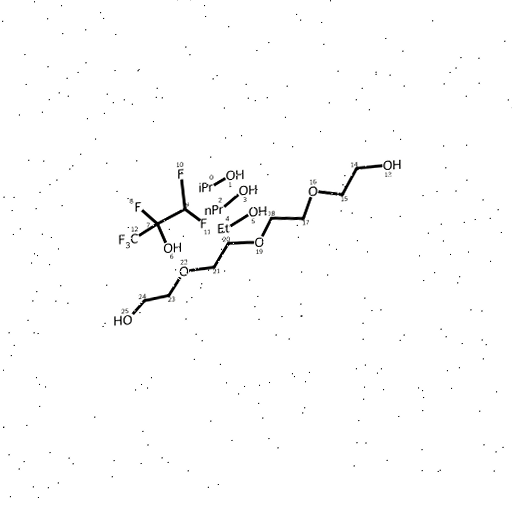 CC(C)O.CCCO.CCO.OC(F)(C(F)F)C(F)(F)F.OCCOCCOCCOCCO